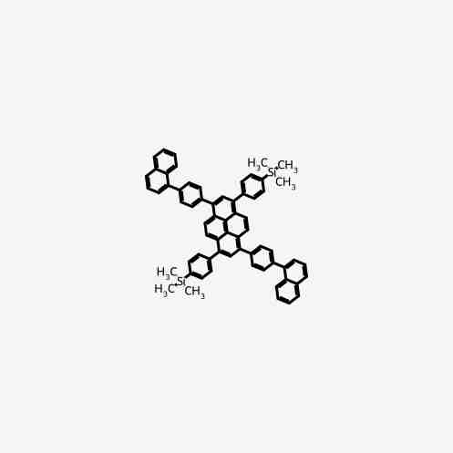 C[Si](C)(C)c1ccc(-c2cc(-c3ccc(-c4cccc5ccccc45)cc3)c3ccc4c(-c5ccc([Si](C)(C)C)cc5)cc(-c5ccc(-c6cccc7ccccc67)cc5)c5ccc2c3c54)cc1